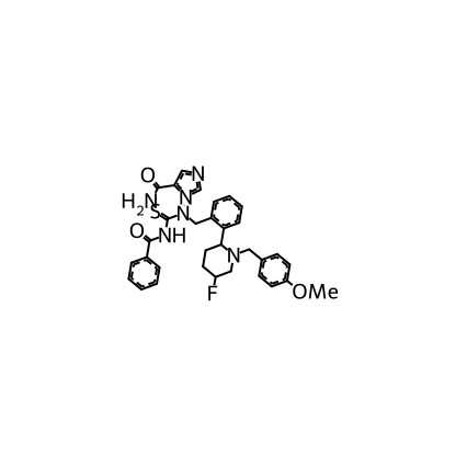 COc1ccc(CN2CC(F)CCC2c2ccccc2CN(C(=S)NC(=O)c2ccccc2)n2cncc2C(N)=O)cc1